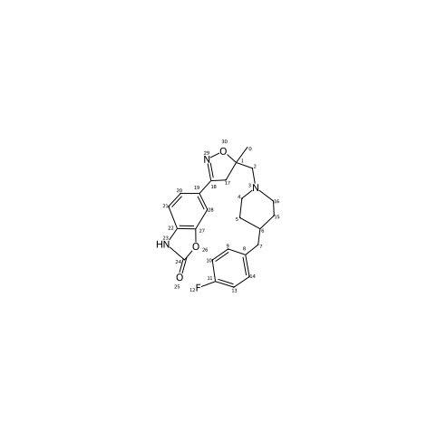 CC1(CN2CCC(Cc3ccc(F)cc3)CC2)CC(c2ccc3[nH]c(=O)oc3c2)=NO1